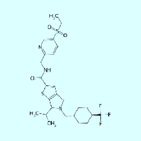 CCS(=O)(=O)c1ccc(CNC(=O)c2cc3c(s2)C(C(C)C)N(C[C@H]2CC[C@H](C(F)(F)F)CC2)C3)nc1